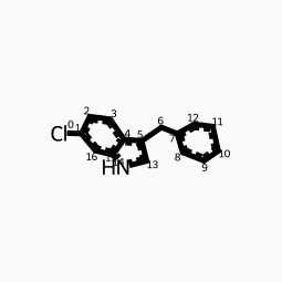 Clc1ccc2c(Cc3ccccc3)c[nH]c2c1